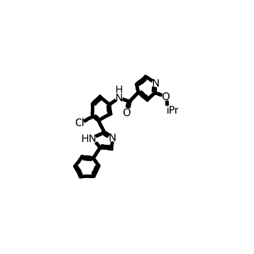 CC(C)Oc1cc(C(=O)Nc2ccc(Cl)c(-c3ncc(-c4ccccc4)[nH]3)c2)ccn1